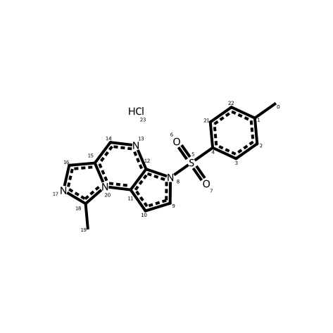 Cc1ccc(S(=O)(=O)n2ccc3c2ncc2cnc(C)n23)cc1.Cl